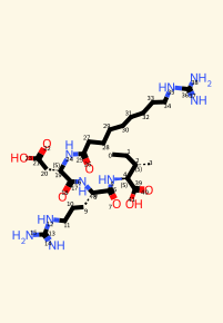 CC[C@H](C)[C@H](NC(=O)[C@H](CCCNC(=N)N)NC(=O)[C@H](CC(=O)O)NC(=O)CCCCCCCCNC(=N)N)C(=O)O